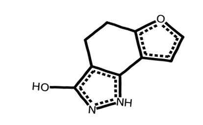 Oc1n[nH]c2c1CCc1occc1-2